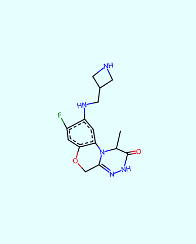 CC1C(=O)NN=C2COc3cc(F)c(NCC4CNC4)cc3N21